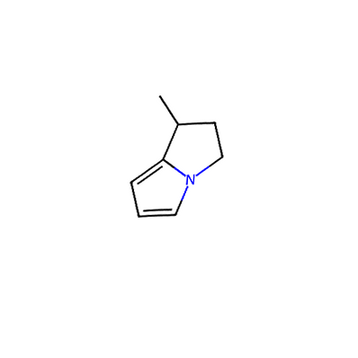 CC1CCn2cccc21